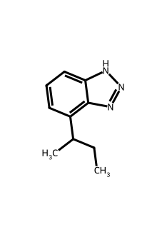 CCC(C)c1cccc2[nH]nnc12